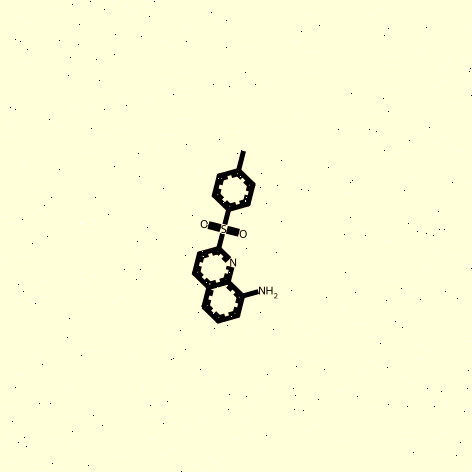 Cc1ccc(S(=O)(=O)c2ccc3cccc(N)c3n2)cc1